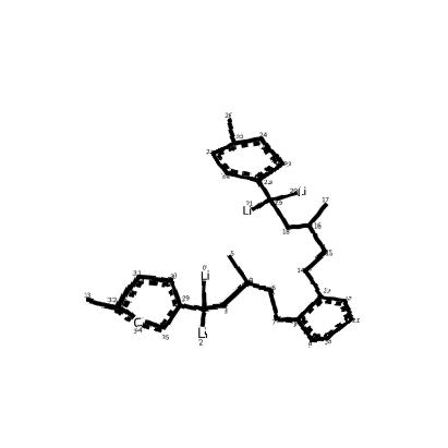 [Li][C]([Li])(CC(C)CCc1ccccc1CCC(C)C[C]([Li])([Li])c1ccc(C)cc1)c1ccc(C)cc1